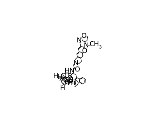 CCN(C(=O)C(C#N)=Cc1ccc2c(c1)CN(CC(=O)NC(Cc1coc3ccccc13)B1O[C@@H]3C[C@@H]4C[C@@H](C4(C)C)[C@]3(C)O1)CC2)C1CCOCC1